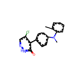 Cc1ccccc1N(C)c1ccc(-c2c(Cl)cn[nH]c2=O)cc1